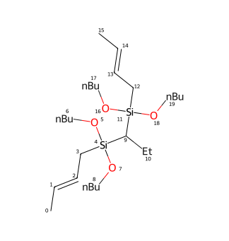 CC=CC[Si](OCCCC)(OCCCC)C(CC)[Si](CC=CC)(OCCCC)OCCCC